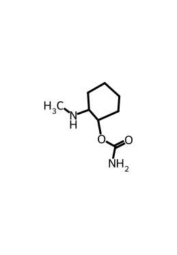 CNC1CCCCC1OC(N)=O